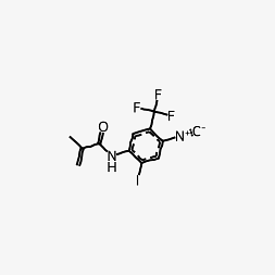 [C-]#[N+]c1cc(I)c(NC(=O)C(=C)C)cc1C(F)(F)F